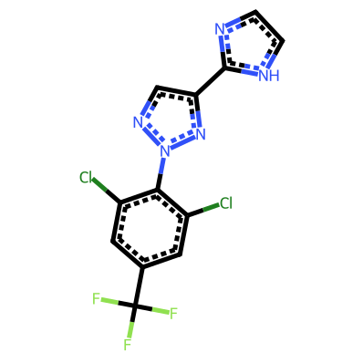 FC(F)(F)c1cc(Cl)c(-n2ncc(-c3ncc[nH]3)n2)c(Cl)c1